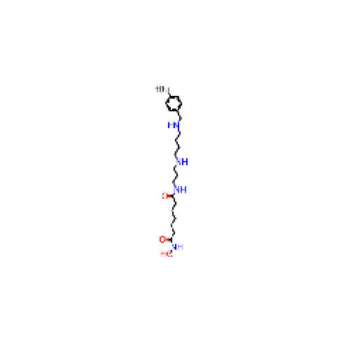 CC(C)(C)c1ccc(CNCCCCNCCCNC(=O)CCCCCC(=O)NO)cc1